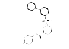 O=C(NC1CCC(O)CC1)[C@H]1CCCN(S(=O)(=O)c2cccc(-c3ccccc3)c2)C1